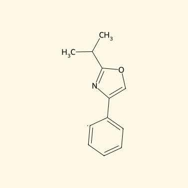 CC(C)c1nc(-c2[c]cccc2)co1